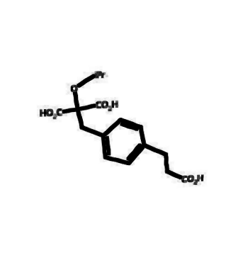 CC(C)OC(Cc1ccc(CCC(=O)O)cc1)(C(=O)O)C(=O)O